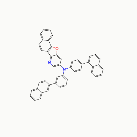 c1cc(-c2ccc3ccccc3c2)cc(N(c2ccc(-c3cccc4ccccc34)cc2)c2cnc3c(c2)oc2c4ccccc4ccc32)c1